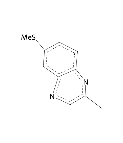 CSc1ccc2nc(C)cnc2c1